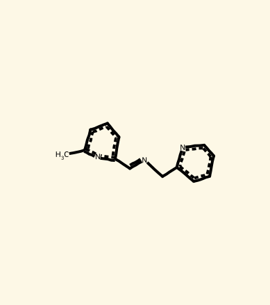 Cc1cccc(/C=N/Cc2ccccn2)n1